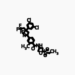 CCS(=O)(=O)N1C[C@@H](NC(=O)c2ccc(C3=NOC(CC(F)(F)F)(c4cc(Cl)cc(Cl)c4)C3)cc2C)CO1